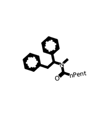 CCCCCC(=O)N(C)C(Cc1ccccc1)c1ccccc1